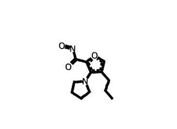 CCCc1coc(C(=O)N=O)c1N1CCCC1